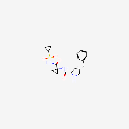 O=C(NC1(C(=O)NS(=O)(=O)C2CC2)CC1)[C@@H]1C[C@@H](Cc2ccccc2)CN1